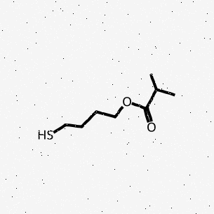 CC(C)C(=O)OCCCCS